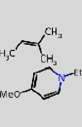 CC=C(C)C.CCN1C=CC(OC)=CC1